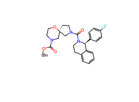 CC(C)(C)OC(=O)N1CCO[C@]2(CCN(C(=O)N3CCc4ccccc4[C@@H]3c3ccc(F)cc3)C2)C1